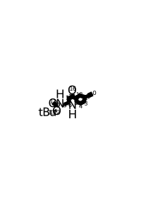 C#Cc1ccc2[nH]c(CNC(=O)OC(C)(C)C)cc(=O)c2c1